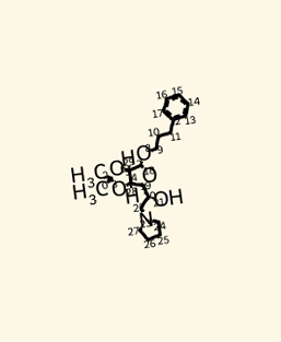 CC1(C)O[C@@H]2[C@H](O1)[C@@H](OCCCc1ccccc1)O[C@@H]2[C@H](O)CN1CCCC1